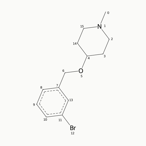 CN1CCC(OCc2cccc(Br)c2)CC1